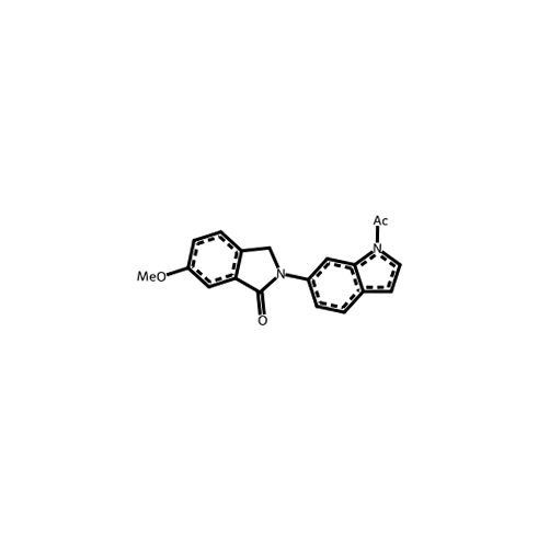 COc1ccc2c(c1)C(=O)N(c1ccc3ccn(C(C)=O)c3c1)C2